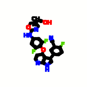 C[C@]1(CO)CN=C(Nc2cc(F)c(Oc3ccnc4[nH]cc(-c5ccc(F)c(C#N)c5)c34)c(F)c2)OC1